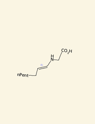 CCCCCC/C=C/NCC(=O)O